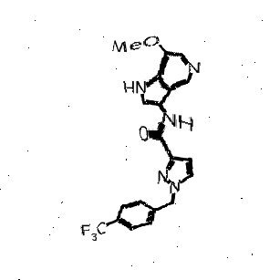 COc1cncc2c(NC(=O)c3ccn(Cc4ccc(C(F)(F)F)cc4)n3)c[nH]c12